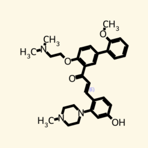 COc1ccccc1-c1ccc(OCCN(C)C)c(C(=O)/C=C/c2ccc(O)cc2N2CCN(C)CC2)c1